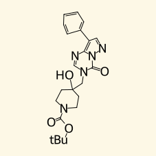 CC(C)(C)OC(=O)N1CCC(O)(Cn2cnc3c(-c4ccccc4)cnn3c2=O)CC1